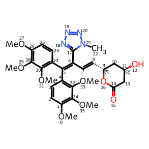 COc1ccc(C(=C(C=C[C@@H]2C[C@@H](O)CC(=O)O2)c2nnnn2C)c2ccc(OC)c(OC)c2OC)c(OC)c1OC